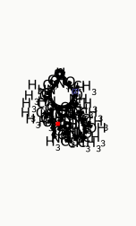 C/C=C1\NC(=O)C(Cc2ccccc2)NC(=O)[C@H](C(C)C)NC(=O)C(C(C)CC)NC(=O)C(NC(=O)C(NC(=O)C(CCCN)NC(=O)C2CCCN2C(=O)C(NC(=O)C(NC(=O)C(NC(=O)C(NC(=O)CCC(C)CC)C(C)C)C(C)O)C(C)C)C(C)C)C(C)CC)C(C)OC(=O)C(C(C)C)NC1=O